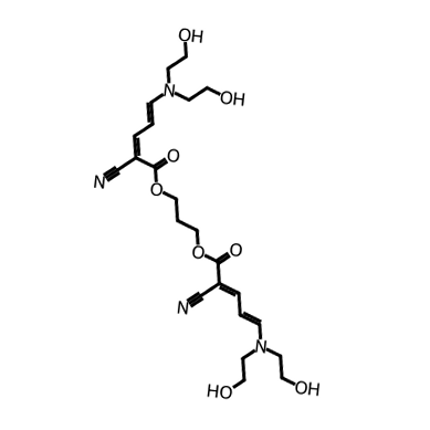 N#C/C(=C/C=C/N(CCO)CCO)C(=O)OCCCOC(=O)/C(C#N)=C/C=C/N(CCO)CCO